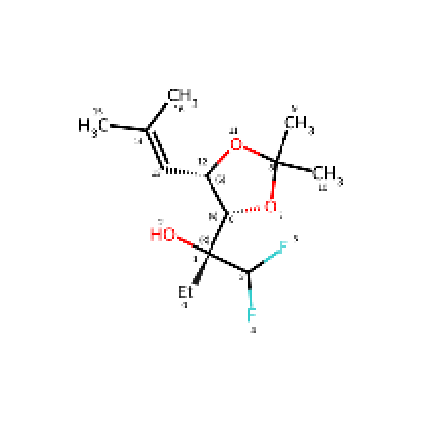 CC[C@](O)(C(F)F)[C@H]1OC(C)(C)O[C@H]1C=C(C)C